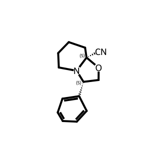 N#C[C@@]12CCCCN1[C@@H](c1ccccc1)CO2